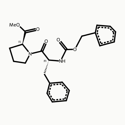 COC(=O)[C@@H]1CCCN1C(=O)[C@@H](Cc1ccccc1)NC(=O)OCc1ccccc1